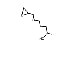 [CH2]C(O)CCCOCC1CO1